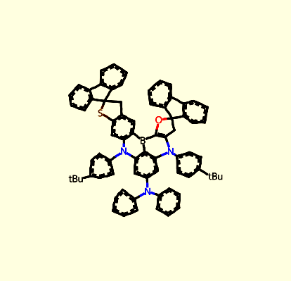 CC(C)(C)c1ccc(N2C3=C(OC4(C3)c3ccccc3-c3ccccc34)B3c4cc5c(cc4N(c4ccc(C(C)(C)C)cc4)c4cc(N(c6ccccc6)c6ccccc6)cc2c43)SC2(C5)c3ccccc3-c3ccccc32)cc1